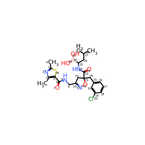 Cc1nc(C)c(C(=O)NCC2=NOC(Cc3cccc(Cl)c3)(C(=O)NC(CC(C)C)B(O)O)C2)s1